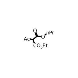 CCCOC(=O)C(C(C)=O)C(=O)OCC